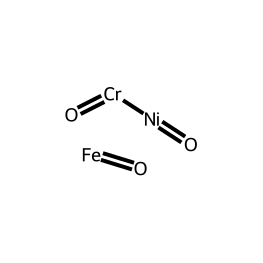 [O]=[Cr][Ni]=[O].[O]=[Fe]